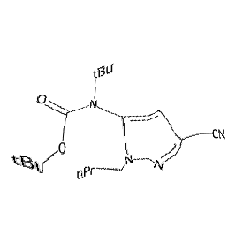 CCCn1nc(C#N)cc1N(C(=O)OC(C)(C)C)C(C)(C)C